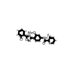 COc1cc(NC(=O)c2ncccc2F)ccc1-c1noc(-c2ccccc2Cl)n1